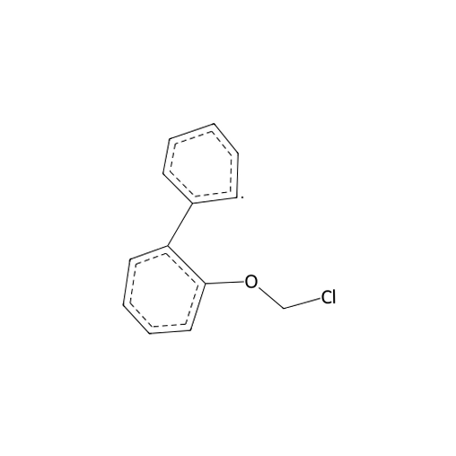 ClCOc1ccccc1-c1[c]cccc1